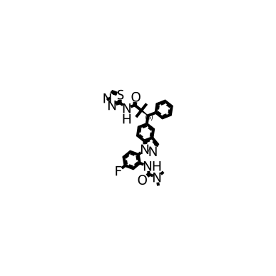 CN(C)C(=O)Nc1cc(F)ccc1-n1ncc2cc([C@H](c3ccccc3)C(C)(C)C(=O)Nc3nncs3)ccc21